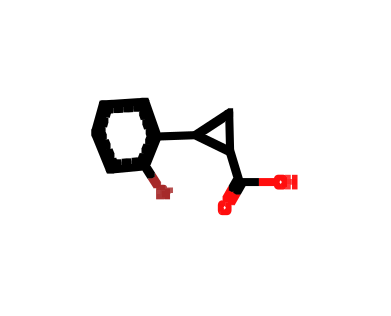 O=C(O)C1CC1c1ccccc1Br